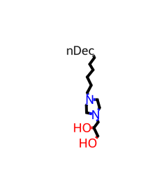 CCCCCCCCCCCCCCCCN1CCN(CC(O)CO)CC1